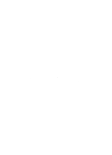 c1ccc2c(c1)ccc1c3cccc(N(c4ccc5c(c4)sc4ccccc45)c4cccc5c4oc4ccccc45)c3ccc21